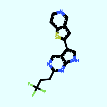 FC(F)(F)CCc1ncc2c(-c3cc4cnccc4s3)c[nH]c2n1